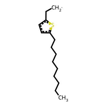 [CH2]Cc1ccc(CCCCCCCCC)s1